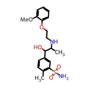 COc1ccccc1OCCNC(C)C(O)c1ccc(C)c(S(N)(=O)=O)c1